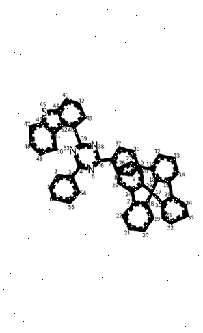 c1ccc(-c2nc(-c3ccc(-c4cccc5c4C4(c6ccccc6-c6ccccc64)c4ccccc4-5)cc3)nc(-c3cccc4sc5ccccc5c34)n2)cc1